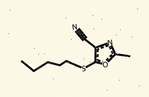 CCCCCSc1oc(C)nc1C#N